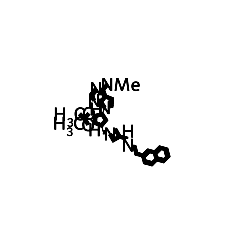 CNc1ncnc2c1ccn2[C@@H]1C[C@H](CN2CC(CNCCc3ccc4ccccc4c3)C2)[C@H]2OC(C)(C)O[C@H]21